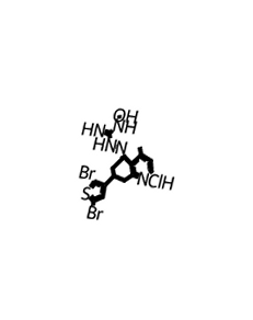 Cc1ccnc2c1C(=NNC(=N)NO)CC(c1cc(Br)sc1Br)C2.Cl